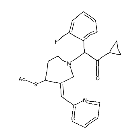 CC(=O)SC1CCN(C(C(=O)C2CC2)c2ccccc2F)CC1=Cc1ccccn1